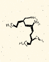 CC/C=C(/CN)C/C(N)=C\C=C(/C)CC